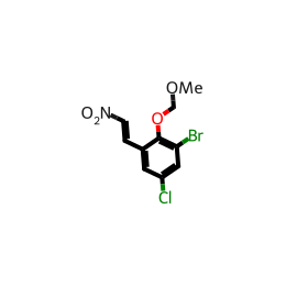 COCOc1c(Br)cc(Cl)cc1/C=C/[N+](=O)[O-]